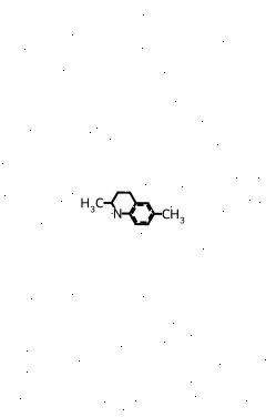 Cc1ccc2c(c1)CCC(C)[N]2